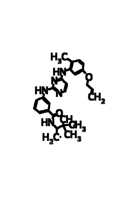 [CH2]C(NC(=O)c1cccc(Nc2nccc(Nc3cc(OCC=C)ccc3C)n2)c1)C(C)(C)C